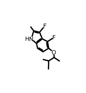 Cc1[nH]c2ccc(OC(C)C(C)C)c(F)c2c1F